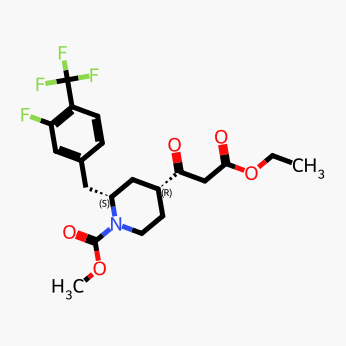 CCOC(=O)CC(=O)[C@@H]1CCN(C(=O)OC)[C@H](Cc2ccc(C(F)(F)F)c(F)c2)C1